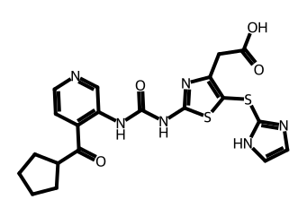 O=C(O)Cc1nc(NC(=O)Nc2cnccc2C(=O)C2CCCC2)sc1Sc1ncc[nH]1